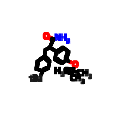 CC(C)(C)c1ccc(CC(C(N)=O)c2ccc(O[Si](C)(C)C)cc2)cc1